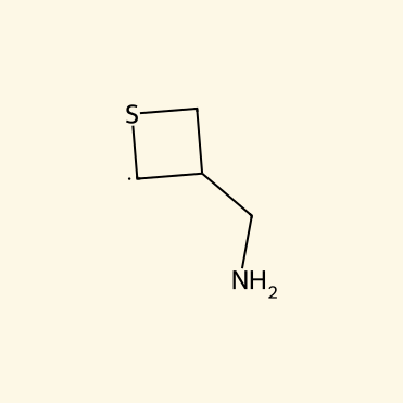 NCC1[CH]SC1